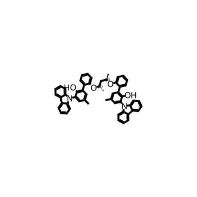 Cc1cc(-c2ccccc2O[C@H](C)C[C@H](C)Oc2ccccc2-c2cc(C)cc(-n3c4ccccc4c4ccccc43)c2O)c(O)c(-n2c3ccccc3c3ccccc32)c1